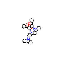 C1=CC2=C(CC1)OC1=CC=C(N3C4=C(CCC5=C4N(C4=Cc6c(oc7c6C=CCC7)CC4)C4C=CC(N6C7=C(C=CCC7)C7C=CCCC76)=CC54)C4CCC=CC43)CC12